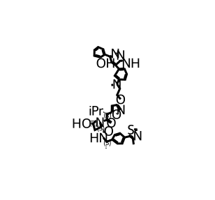 Cc1ncsc1-c1ccc([C@H](C)NC(=O)[C@@H]2C[C@@H](O)CN2C(=O)[C@@H](c2cc(OCCN(C)c3ccc4[nH]c5nnc(-c6ccccc6O)cc5c4c3)no2)C(C)C)cc1